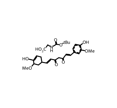 CC(C)(C)OC(=O)NCC(=O)O.COc1cc(/C=C/C(=O)CC(=O)/C=C/C2CC=C(O)C(OC)C2)ccc1O